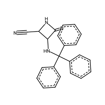 N#CC1NC(=O)C1NC(c1ccccc1)(c1ccccc1)c1ccccc1